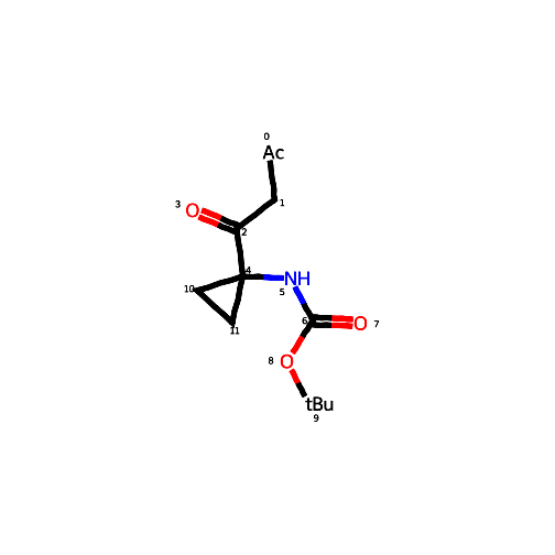 CC(=O)CC(=O)C1(NC(=O)OC(C)(C)C)CC1